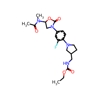 CCOC(=O)NCC1CCN(c2ccc(N3CC(N(C)C(C)=O)OC3=O)cc2F)C1